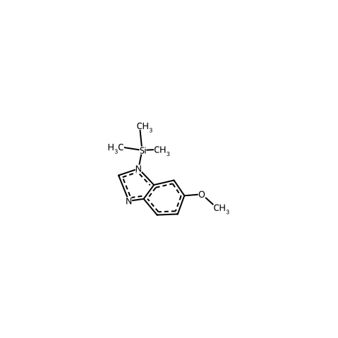 COc1ccc2ncn([Si](C)(C)C)c2c1